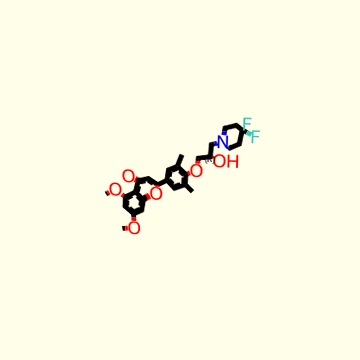 COc1cc(OC)c2c(=O)cc(-c3cc(C)c(OC[C@H](O)CN4CCC(F)(F)CC4)c(C)c3)oc2c1